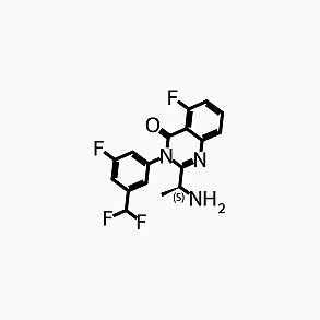 C[C@H](N)c1nc2cccc(F)c2c(=O)n1-c1cc(F)cc(C(F)F)c1